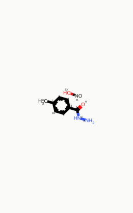 Cc1ccc(C(=O)NN)cc1.O=NO